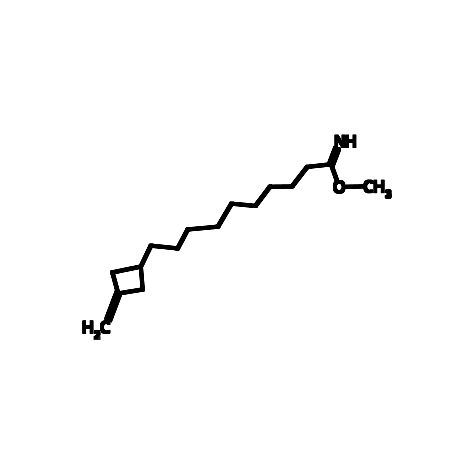 C=C1CC(CCCCCCCCCC(=N)OC)C1